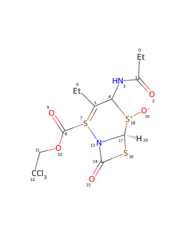 CCC(=O)NC1C(CC)=S(C(=O)OCC(Cl)(Cl)Cl)N2C(=O)S[C@@H]2[S+]1[O-]